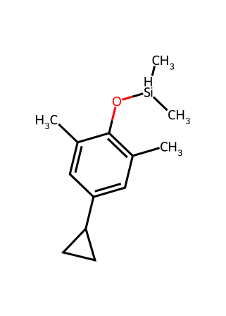 Cc1cc(C2CC2)cc(C)c1O[SiH](C)C